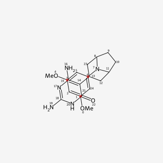 COc1cc(OC)cc(N2C3CCC2CC(c2c(N)nc(N)[nH]c2=O)C3)c1